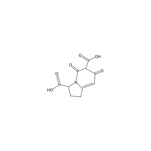 O=C(O)C1C(=O)C=C2CCC(C(=O)O)N2C1=O